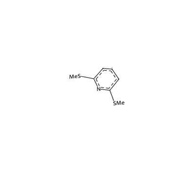 CSc1c[c]cc(SC)n1